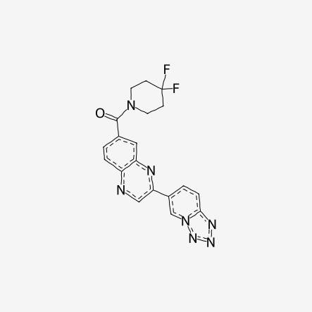 O=C(c1ccc2ncc(-c3ccc4nnnn4c3)nc2c1)N1CCC(F)(F)CC1